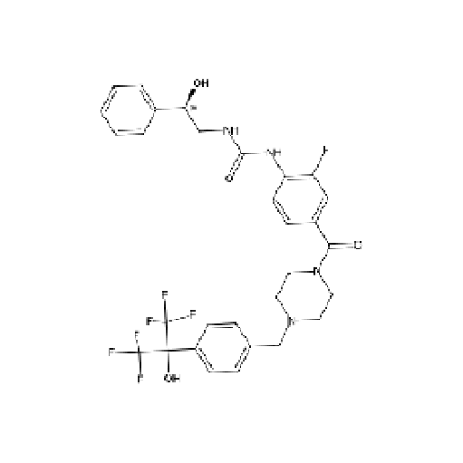 O=C(NC[C@H](O)c1ccccc1)Nc1ccc(C(=O)N2CCN(Cc3ccc(C(O)(C(F)(F)F)C(F)(F)F)cc3)CC2)cc1F